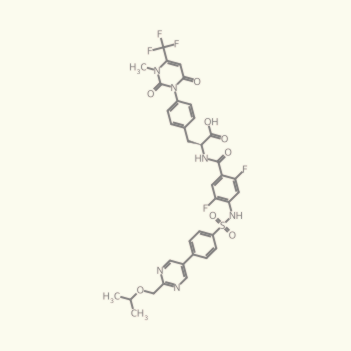 CC(C)OCc1ncc(-c2ccc(S(=O)(=O)Nc3cc(F)c(C(=O)N[C@@H](Cc4ccc(-n5c(=O)cc(C(F)(F)F)n(C)c5=O)cc4)C(=O)O)cc3F)cc2)cn1